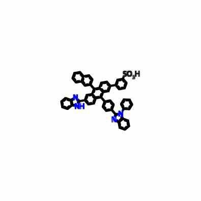 O=S(=O)(O)c1cccc(-c2ccc3c(-c4ccc5ccccc5c4)c4cc(-c5nc6ccccc6[nH]5)ccc4c(-c4ccc(-c5nc6ccccc6n5-c5ccccc5)cc4)c3c2)c1